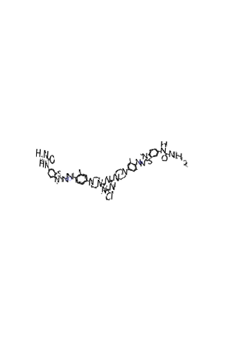 Cc1cc(N2CCN(c3nc(Cl)nc(N4CCN(c5ccc(/N=N/c6sc7cc(NC(N)=O)ccc7[n+]6C)c(C)c5)CC4)n3)CC2)ccc1/N=N/c1sc2cc(NC(N)=O)ccc2[n+]1C